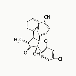 C=C1C(=O)[C@@]2(O)c3ncc(Cl)cc3O[C@@]2(c2ccc(C#N)cc2)[C@@H]1c1ccccc1